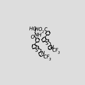 O=C(NCCO)c1cccc(-c2cccc3sc(Cc4cccc(C(F)(F)F)n4)cc23)c1.O=C(O)c1cccc(-c2cccc3sc(Cc4cccc(C(F)(F)F)n4)cc23)c1